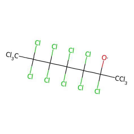 [O]C(Cl)(C(Cl)(Cl)Cl)C(Cl)(Cl)C(Cl)(Cl)C(Cl)(Cl)C(Cl)(Cl)C(Cl)(Cl)Cl